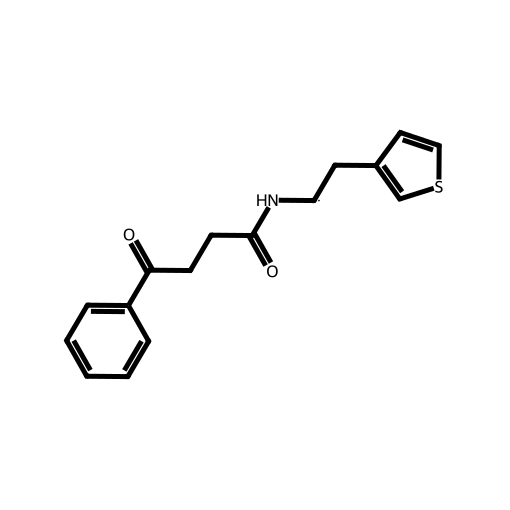 O=C(CCC(=O)c1ccccc1)N[CH]Cc1ccsc1